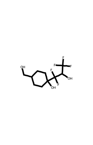 OCC1CCC(O)(C(F)(F)C(O)C(F)(F)F)CC1